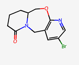 O=C1CCCC2COc3ncc(Br)cc3CN12